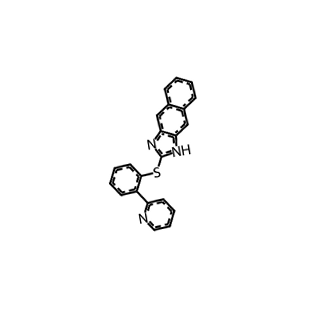 c1ccc(-c2ccccc2Sc2nc3cc4ccccc4cc3[nH]2)nc1